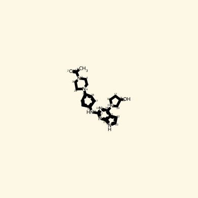 CC(=O)N1CCN(c2ccc(Nc3nc(N4CCC(O)C4)c4cc[nH]c4n3)cc2)CC1